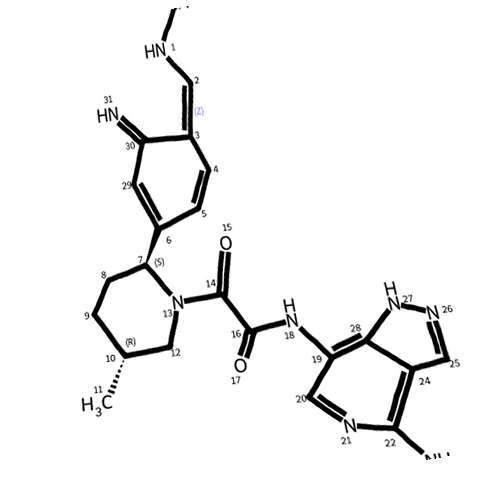 CC(C)N/C=C1/C=CC([C@@H]2CC[C@@H](C)CN2C(=O)C(=O)Nc2cnc(N)c3cn[nH]c23)=CC1=N